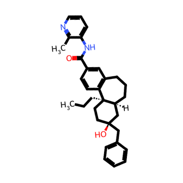 CCC[C@@]12CC[C@@](O)(Cc3ccccc3)C[C@@H]1CCCc1cc(C(=O)Nc3cccnc3C)ccc12